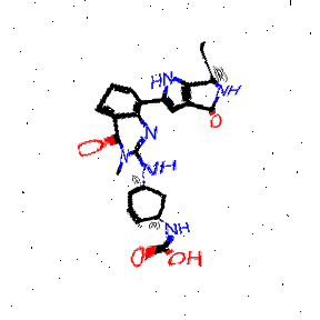 C[C@H]1NC(=O)c2cc(-c3cccc4c(=O)n(C)c(N[C@H]5CCC[C@@H](NC(=O)O)C5)nc34)[nH]c21